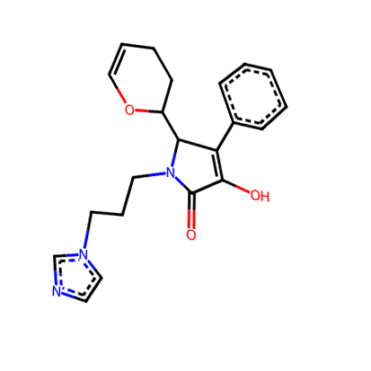 O=C1C(O)=C(c2ccccc2)C(C2CCC=CO2)N1CCCn1ccnc1